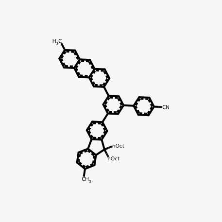 CCCCCCCCC1(CCCCCCCC)c2cc(C)ccc2-c2ccc(-c3cc(-c4ccc(C#N)cc4)cc(-c4ccc5cc6cc(C)ccc6cc5c4)c3)cc21